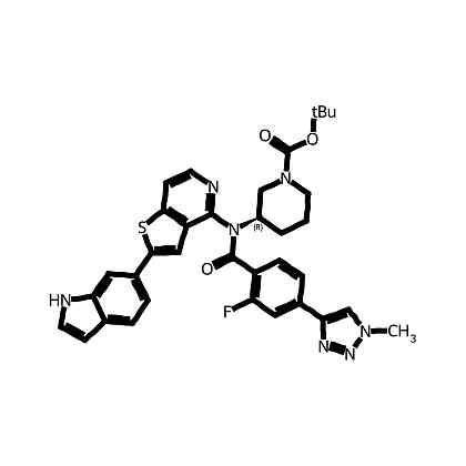 Cn1cc(-c2ccc(C(=O)N(c3nccc4sc(-c5ccc6cc[nH]c6c5)cc34)[C@@H]3CCCN(C(=O)OC(C)(C)C)C3)c(F)c2)nn1